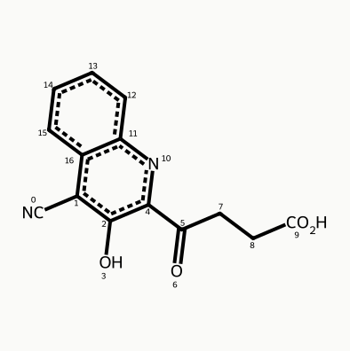 N#Cc1c(O)c(C(=O)CCC(=O)O)nc2ccccc12